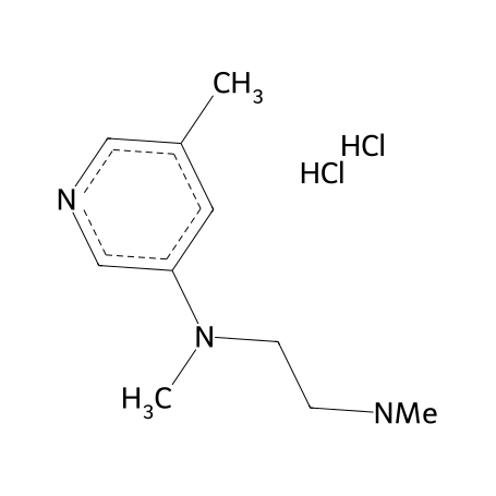 CNCCN(C)c1cncc(C)c1.Cl.Cl